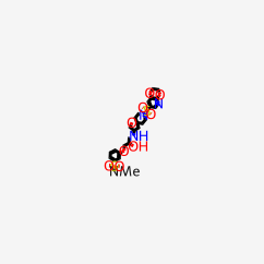 CNS(=O)(=O)c1cccc(OCC(O)CNC2COC3(CCN(S(=O)(=O)c4cnc5c(c4)OCCO5)CC3)C2)c1